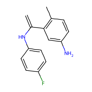 C=C(Nc1ccc(F)cc1)c1cc(N)ccc1C